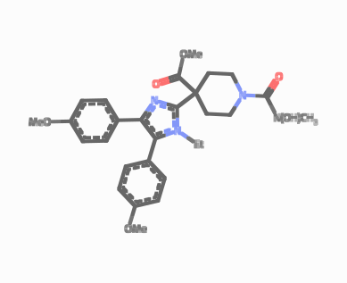 CCn1c(C2(C(=O)OC)CCN(C(=O)N(C)O)CC2)nc(-c2ccc(OC)cc2)c1-c1ccc(OC)cc1